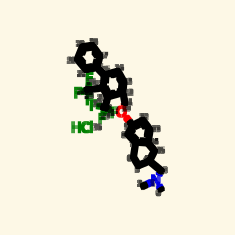 CN(C)CC1CCc2cc(OCc3ccc(-c4ccccc4)c(C(F)(F)F)c3C(F)(F)F)ccc2C1.Cl